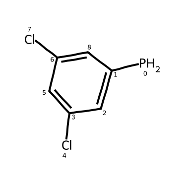 Pc1cc(Cl)cc(Cl)c1